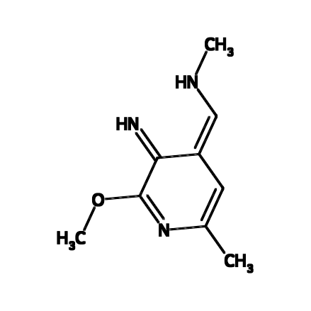 CN/C=C1/C=C(C)N=C(OC)C1=N